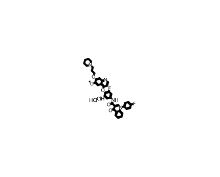 COc1cc2c(Oc3ccc(NC(=O)c4cn(-c5ccc(F)cc5)c5ccccc5c4=O)cc3F)ccnc2cc1OCCCN1CCCCC1.Cl.Cl